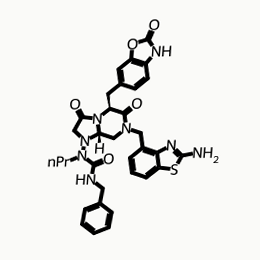 CCCN(C(=O)NCc1ccccc1)N1CC(=O)N2[C@@H](Cc3ccc4[nH]c(=O)oc4c3)C(=O)N(Cc3cccc4sc(N)nc34)C[C@@H]21